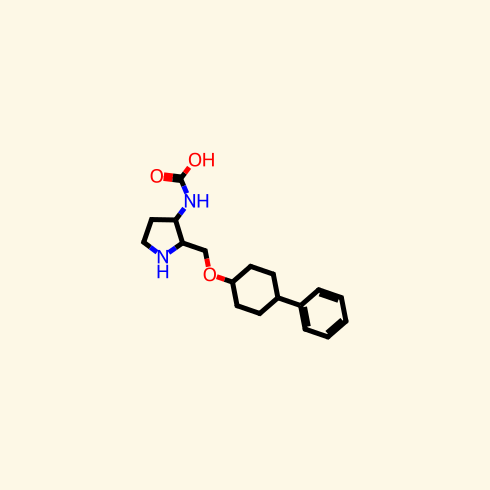 O=C(O)NC1CCNC1COC1CCC(c2ccccc2)CC1